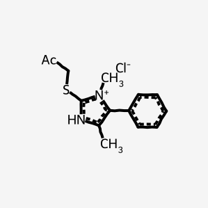 CC(=O)CSc1[nH]c(C)c(-c2ccccc2)[n+]1C.[Cl-]